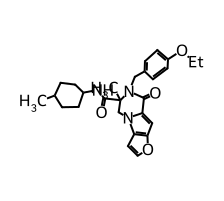 CCOc1ccc(CN2C(=O)c3cc4occc4n3CC2(C)C(=O)NC2CCC(C)CC2)cc1